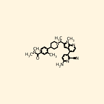 Cc1cc(C(=O)N(C)C)ccc1C1CCN([C@@H](C)c2cc3c(-c4ccc(N)nc4C#N)ccnc3n2C)CC1